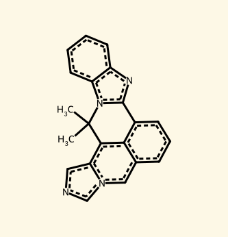 CC1(C)c2c3c(cccc3cn3cncc23)-c2nc3ccccc3n21